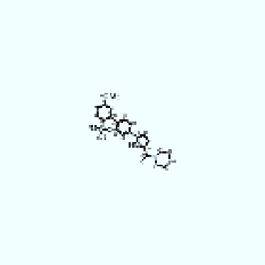 CCS(=O)(=O)c1ccc(OC)cc1-c1ccc(-c2ccc(C(C)N3CCCCC3)[nH]2)cc1